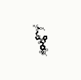 CC(C)OCCN1CCC(NC(=O)[C@H](CC2CCCC2)c2ccc(S(C)(=O)=O)c(Cl)c2)=N1